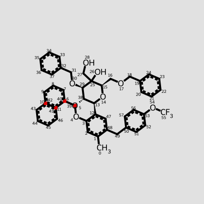 Cc1cc(OCc2ccccc2)c([C@@H]2O[C@H](COCc3ccccc3)C(O)(CO)[C@H](OCc3ccccc3)[C@H]2OCc2ccccc2)cc1Cc1ccc(OC(F)(F)F)cc1